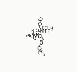 CC(C)(C)NC(=O)CN1Cc2cc(OCc3ccc(C(F)(F)F)cc3)ccc2C[C@H]1C(=O)N[C@@H](Cc1ccc(-c2ccccc2)cc1)C(=O)O